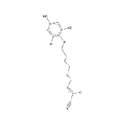 N#C/C(Cl)=C/COCCCCOc1c(Cl)cc(O)cc1Cl